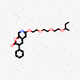 CCC(C)OCCOCCOCCOc1cc2cc(-c3ccccc3)c(=O)oc2cn1